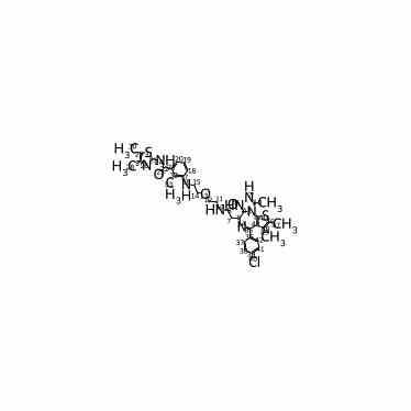 CC(=N)N1C(=N)[C@H](CC(=O)NCCOCCNc2cccc(C(=O)Nc3nc(C)c(C)s3)c2C)N=C(c2ccc(Cl)cc2)c2c1sc(C)c2C